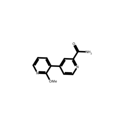 COc1ncccc1-c1ccnc(C(N)=O)c1